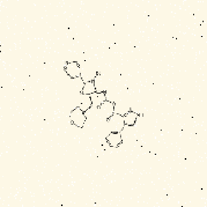 CCn1c(-c2ccncc2)nc2c(N3CCOCC3)nc(OC(=O)c3n[nH]cc3-c3ccccc3)nc21